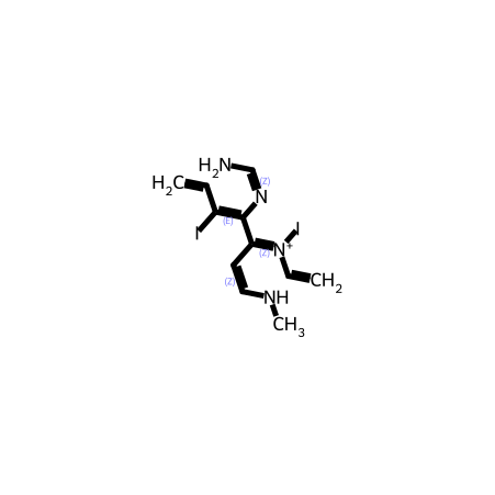 C=C/C(I)=C(\N=C/N)C(/C=C\NC)=[N+](\I)C=C